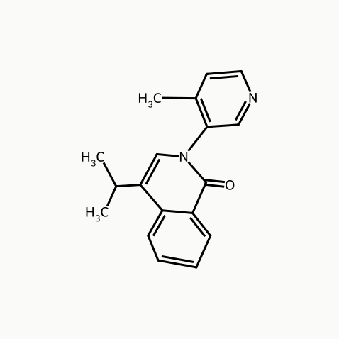 Cc1ccncc1-n1cc(C(C)C)c2ccccc2c1=O